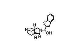 OC(c1cc2ccccc2s1)N1C[C@@H]2C[N@@]3CC[C@@H]2[C@@H]1C3